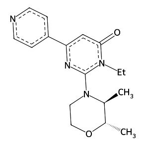 CCn1c(N2CCO[C@@H](C)[C@@H]2C)nc(-c2ccncc2)cc1=O